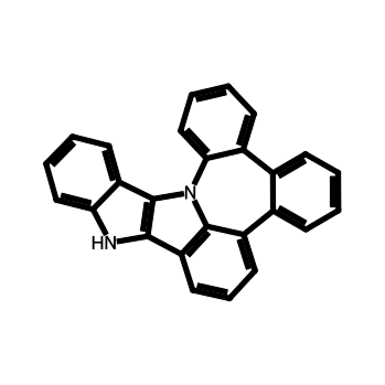 c1ccc2c(c1)-c1ccccc1-n1c3c-2cccc3c2[nH]c3ccccc3c21